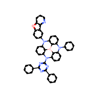 c1ccc(-c2nc(-c3ccccc3)nc(N3c4cccc5c4B4c6c(cccc6N(c6ccc7oc8cccnc8c7c6)c6cccc3c64)N5c3ccccc3)n2)cc1